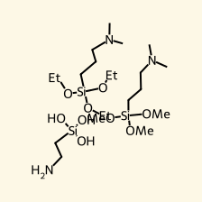 CCO[Si](CCCN(C)C)(OCC)OCC.CO[Si](CCCN(C)C)(OC)OC.NCC[Si](O)(O)O